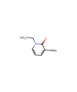 CNc1cccn(CC(=O)O)c1=O